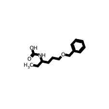 CCC(CCCOCc1ccccc1)NC(=O)O